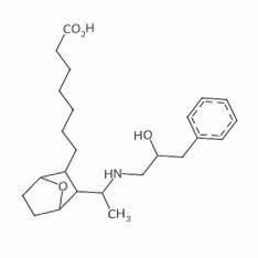 CC(NCC(O)Cc1ccccc1)C1C2CCC(O2)C1CCCCCCC(=O)O